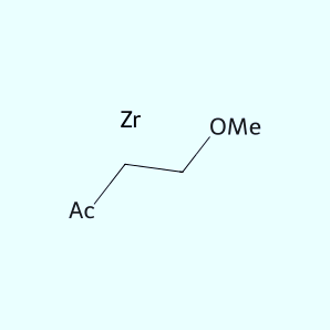 COCCC(C)=O.[Zr]